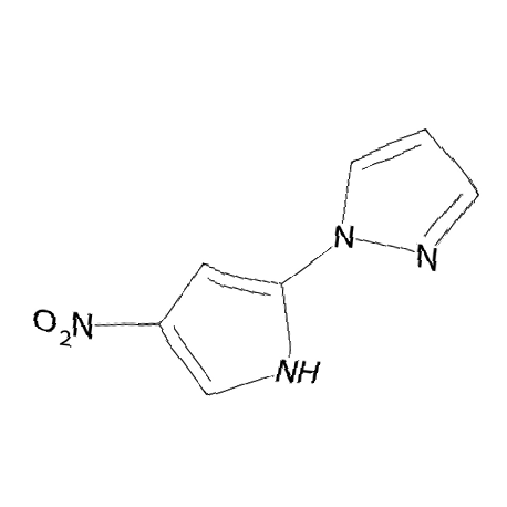 O=[N+]([O-])c1c[nH]c(-n2cccn2)c1